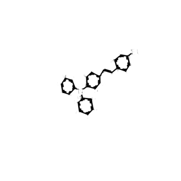 CCc1ccc(C=Cc2ccc(N(c3ccccc3)c3ccccc3)cc2)cc1